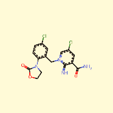 N=c1c(C(N)=O)cc(Cl)cn1Cc1cc(Cl)ccc1N1CCOC1=O